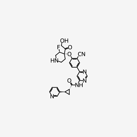 N#Cc1cc(-c2cc(NC(=O)[C@@H]3C[C@H]3c3cccnc3)ncn2)ccc1O[C@]1(C(=O)CO)CCNC[C@H]1F